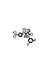 COC(=O)[C@@H]1C=C[C@H](NC(=O)C2(C(=O)Nc3cc(F)cc(F)c3)CCO2)C1